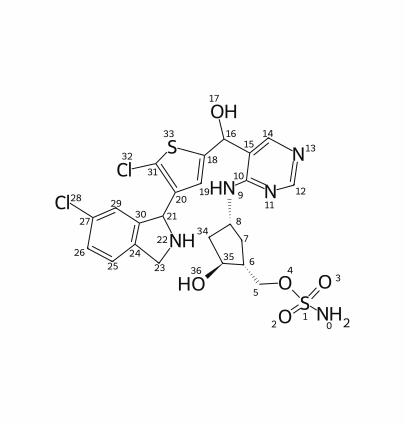 NS(=O)(=O)OC[C@H]1C[C@@H](Nc2ncncc2C(O)c2cc(C3NCc4ccc(Cl)cc43)c(Cl)s2)C[C@@H]1O